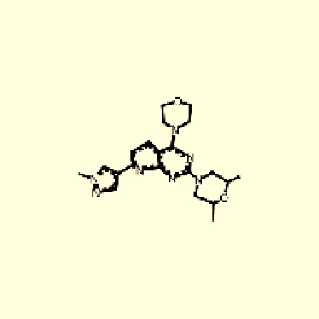 CC1CN(c2nc(N3CCOCC3)c3ccc(-c4cnn(C)c4)nc3n2)CC(C)O1